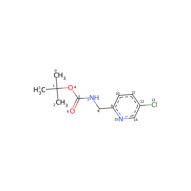 CC(C)(C)OC(=O)NCc1ccc(Cl)cn1